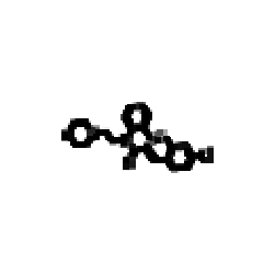 O=C1C(=Cc2ccc(Cl)cc2Cl)Sc2ccccc2N1CCN1CCOCC1